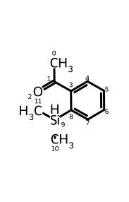 CC(=O)c1ccccc1[SiH](C)C